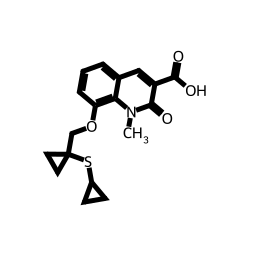 Cn1c(=O)c(C(=O)O)cc2cccc(OCC3(SC4CC4)CC3)c21